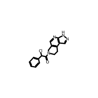 O=C(C(Cl)c1ccccc1)N1CCc2c(cnc3[nH]ncc23)C1